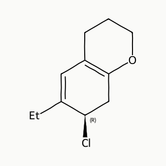 CCC1=CC2=C(C[C@H]1Cl)OCCC2